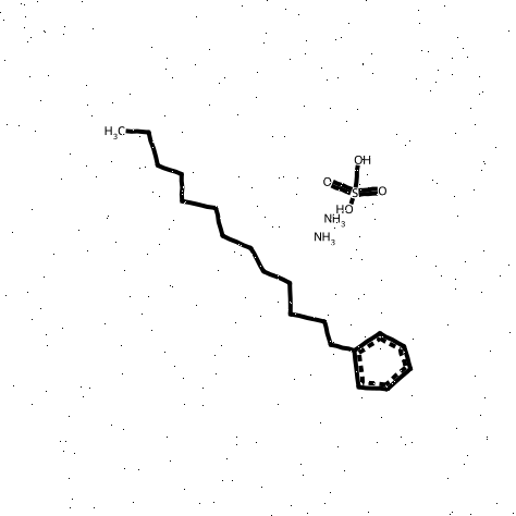 CCCCCCCCCCCCCc1ccccc1.N.N.O=S(=O)(O)O